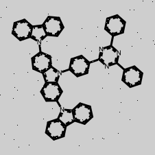 c1ccc(-c2nc(-c3ccccc3)nc(-c3ccc(-n4c5cc(-n6c7ccccc7c7ccccc76)ccc5c5ccc(-n6c7ccccc7c7ccccc76)cc54)cc3)n2)cc1